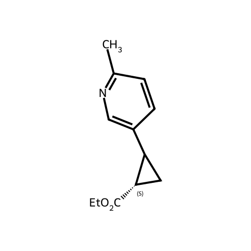 CCOC(=O)[C@H]1CC1c1ccc(C)nc1